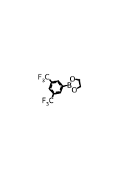 FC(F)(F)c1cc(B2OCCO2)cc(C(F)(F)F)c1